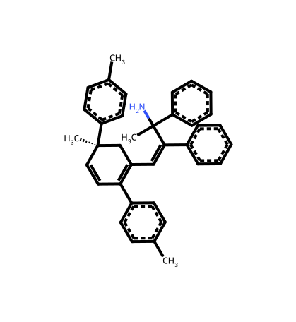 Cc1ccc(C2=C(/C=C(/c3ccccc3)C(C)(N)c3ccccc3)C[C@](C)(c3ccc(C)cc3)C=C2)cc1